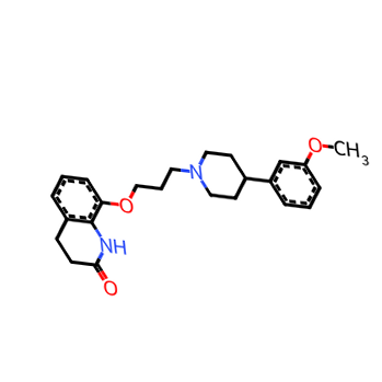 COc1cccc(C2CCN(CCCOc3cccc4c3NC(=O)CC4)CC2)c1